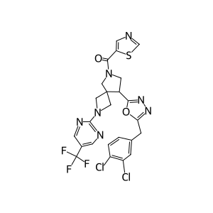 O=C(c1cncs1)N1CC(c2nnc(Cc3ccc(Cl)c(Cl)c3)o2)C2(C1)CN(c1ncc(C(F)(F)F)cn1)C2